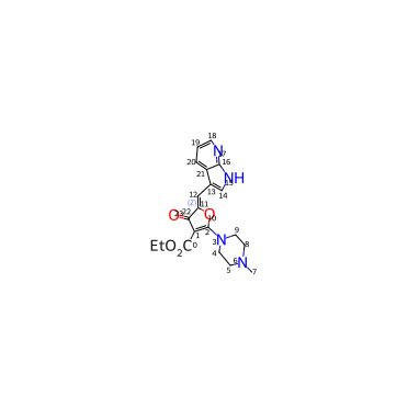 CCOC(=O)C1=C(N2CCN(C)CC2)O/C(=C\c2c[nH]c3ncccc23)C1=O